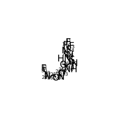 Cc1nsc(Nc2cnc(C(F)(F)F)cn2)c1C(=O)Nc1ccc(OCCN(C)CCF)nc1